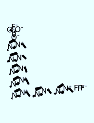 CC[n+]1ccn(C)c1.CC[n+]1ccn(C)c1.CC[n+]1ccn(C)c1.CC[n+]1ccn(C)c1.CC[n+]1ccn(C)c1.CC[n+]1ccn(C)c1.CC[n+]1ccn(C)c1.[F-].[F-].[F-].[F-].[O-]B([O-])[O-]